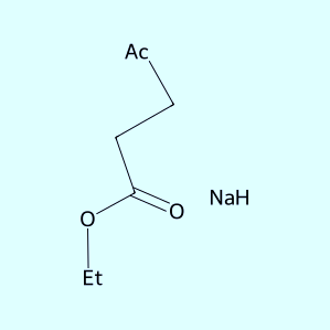 CCOC(=O)CCC(C)=O.[NaH]